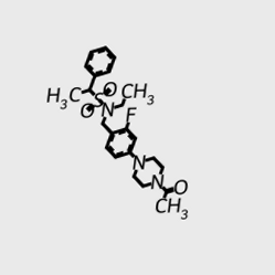 CCN(Cc1ccc(N2CCN(C(C)=O)CC2)cc1F)S(=O)(=O)C(C)c1ccccc1